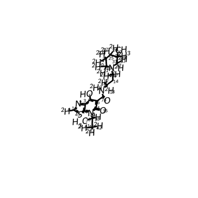 [2H]c1nc2c(O)c(C(=O)N([2H])C([2H])([2H])CC([2H])([2H])N3C([2H])([2H])C([2H])([2H])C([2H])([2H])C([2H])(C)C3([2H])[2H])c(=O)n(C([2H])(C)C([2H])([2H])[2H])c2s1